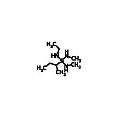 CCN[Si](NC)(NC)C(C)CC